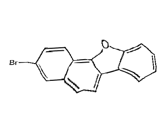 Brc1ccc2c(ccc3c4ccccc4oc23)c1